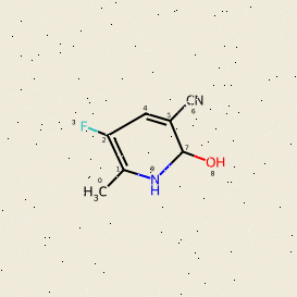 CC1=C(F)C=C(C#N)C(O)N1